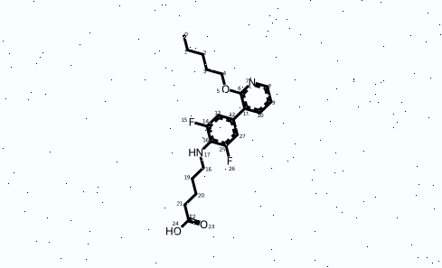 CCCCCOc1ncccc1-c1cc(F)c(NCCCCC(=O)O)c(F)c1